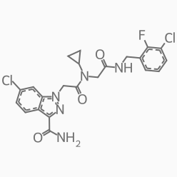 NC(=O)c1nn(CC(=O)N(CC(=O)NCc2cccc(Cl)c2F)C2CC2)c2cc(Cl)ccc12